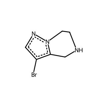 Brc1cnn2c1CNCC2